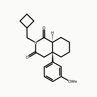 COc1cccc([C@]23CCCC[C@@H]2C(=O)N(CC2CCC2)C(=O)C3)c1